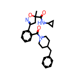 CC1(C(=O)NC2CC2)CC(c2ccccc2C(=O)N2CCC(Cc3ccccc3)CC2)=NO1